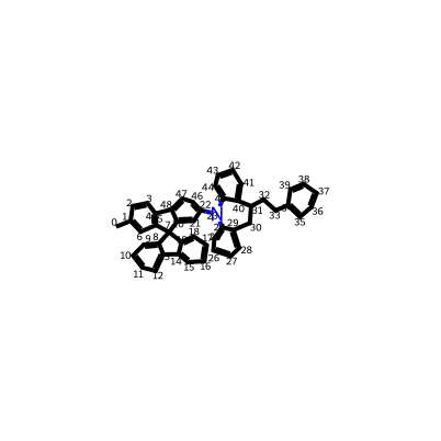 Cc1ccc2c(c1)C1(c3ccccc3-c3ccccc31)c1cc(N3c4ccccc4CC(CCc4ccccc4)c4ccccc43)ccc1-2